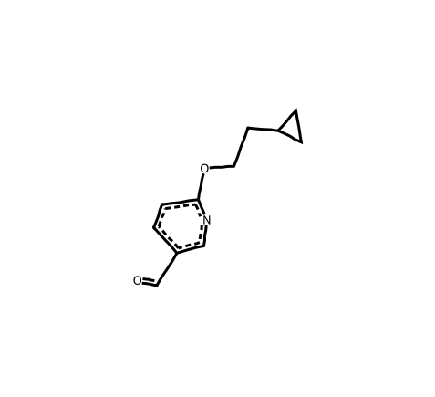 O=Cc1ccc(OCCC2CC2)nc1